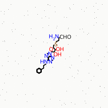 NC(C=O)CCSCC1OC(n2cnc3c(NCCCc4ccccc4)ncnc32)C(O)C1O